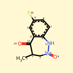 CC1C[N+](=O)Nc2ccc(F)cc2C1=O